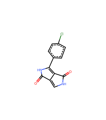 O=C1NC(c2ccc(Cl)cc2)=C2C(=O)NC=C12